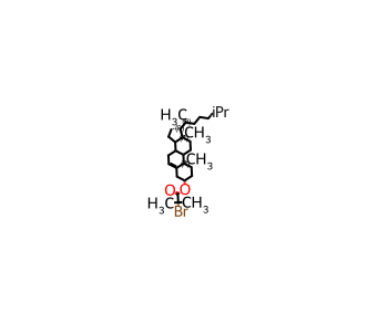 CC(C)CCC[C@@H](C)[C@H]1CCC2C3CC=C4CC(OC(=O)C(C)(C)Br)CC[C@]4(C)C3CC[C@@]21C